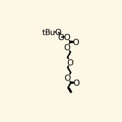 C=CC(=O)OCCOCCOC(=O)OOOC(C)(C)C